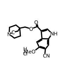 COc1cc2c(C(=O)OCC34CCN(CC3)CC4)c[nH]c2cc1C#N.Cl